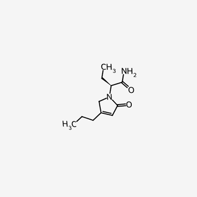 CCCC1=CC(=O)N([C@@H](CC)C(N)=O)C1